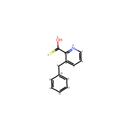 OC(=S)c1ncccc1Cc1ccccc1